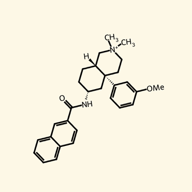 COc1cccc([C@@]23CC[N+](C)(C)C[C@H]2CC[C@@H](NC(=O)c2ccc4ccccc4c2)C3)c1